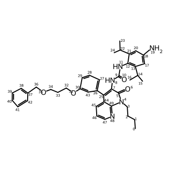 CCCCn1c(=O)c(NC(=O)Nc2c(C(C)C)cc(N)cc2C(C)C)c(-c2cccc(OCCCOCc3ccccc3)c2)c2cccnc21